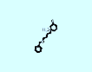 C[C@]1(CCCCOCc2ccccc2)CCCC(=O)C1